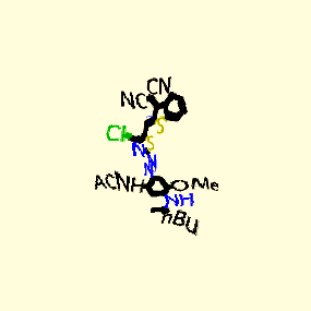 CCCCC(C)Nc1cc(NC(C)=O)c(/N=N/c2nc(Cl)c(/C=c3\sc4ccccc4c3=C(C#N)C#N)s2)cc1OC